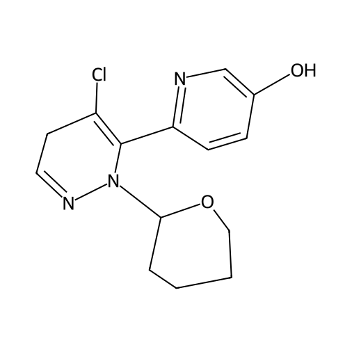 Oc1ccc(C2=C(Cl)CC=NN2C2CCCCO2)nc1